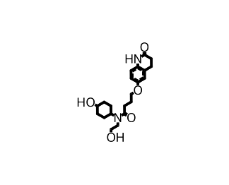 O=C1CCc2cc(OCCCC(=O)N(CCO)C3CCC(O)CC3)ccc2N1